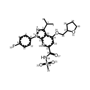 CC(C)c1nn(-c2ccc(F)cc2)c2nc(C(=O)NS(C)(=O)=O)cc(OCC3CCCO3)c12